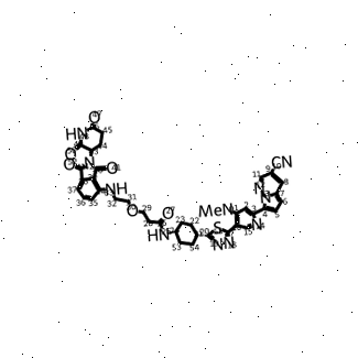 CNc1cc(-c2ccc3cc(C#N)cnn23)ncc1-c1nnc([C@H]2CC[C@H](NC(=O)CCOCCNc3cccc4c3C(=O)N(C3CCC(=O)NC3=O)C4=O)CC2)s1